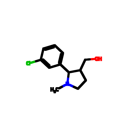 CN1CCC(CO)C1c1cccc(Cl)c1